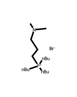 CCCC[P+](CCCC)(CCCC)CCCN(C)C.[Br-]